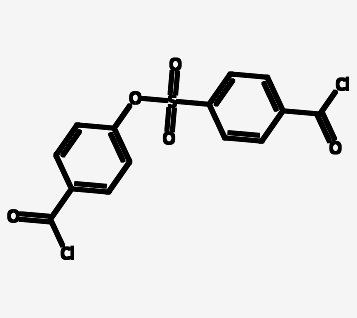 O=C(Cl)c1ccc(OS(=O)(=O)c2ccc(C(=O)Cl)cc2)cc1